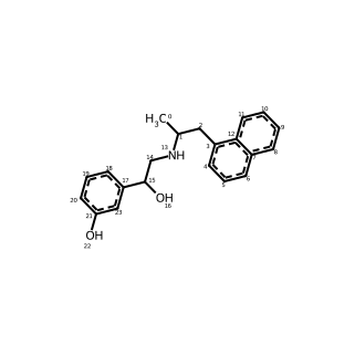 CC(Cc1cccc2ccccc12)NCC(O)c1cccc(O)c1